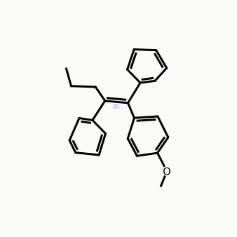 CCC/C(=C(\c1ccccc1)c1ccc(OC)cc1)c1ccccc1